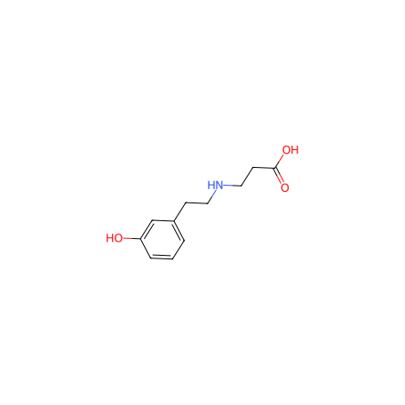 O=C(O)CCNCCc1cccc(O)c1